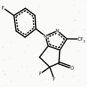 O=C1c2c(C(F)(F)F)nn(-c3ccc(F)cc3)c2CC1(F)F